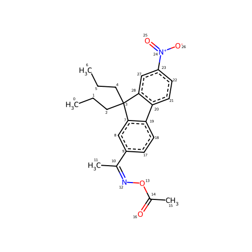 CCCC1(CCC)c2cc(/C(C)=N\OC(C)=O)ccc2-c2ccc([N+](=O)[O-])cc21